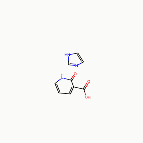 O=C(O)c1ccc[nH]c1=O.c1c[nH]cn1